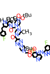 CC1CN(C(=O)c2cnc(N3CCN(CCOc4cc5nccc(Nc6n[nH]c7ccc(F)cc67)c5cc4S(=O)(=O)C(C)(C)C)CC3)nc2)CCN1C[C@H]1CN(C(=O)OC(C)(C)C)[C@H](C)CN1CC(=O)N1CC(C)(C)c2ncc(Cc3ccc(F)cc3)cc21